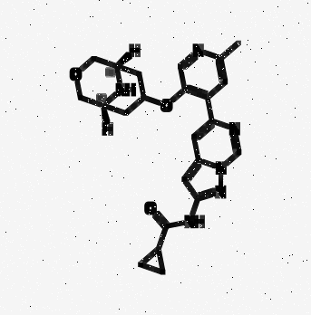 Cc1cc(-c2cc3cc(NC(=O)C4CC4)nn3cn2)c(OC2C[C@H]3COC[C@@H](C2)N3)cn1